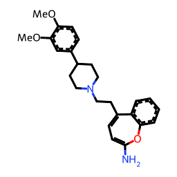 COc1ccc(C2CCN(CCC3=CC=C(N)Oc4ccccc43)CC2)cc1OC